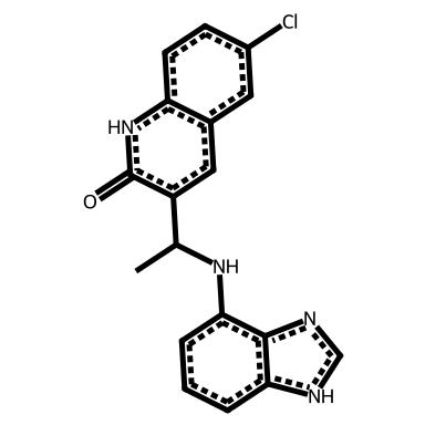 CC(Nc1cccc2[nH]cnc12)c1cc2cc(Cl)ccc2[nH]c1=O